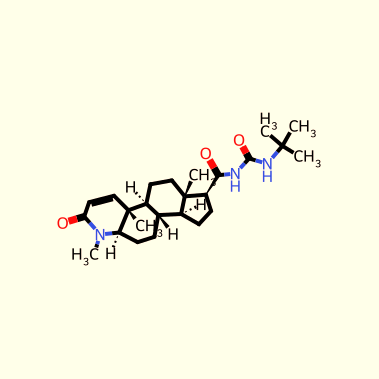 CN1C(=O)C=C[C@]2(C)[C@H]3CC[C@]4(C)[C@@H](C(=O)NC(=O)NC(C)(C)C)CC[C@H]4[C@@H]3CC[C@@H]12